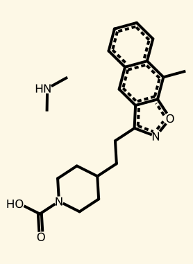 CNC.Cc1c2ccccc2cc2c(CCC3CCN(C(=O)O)CC3)noc12